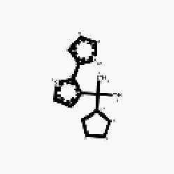 CC(O)(c1ccsc1-c1cccs1)C1CCCC1